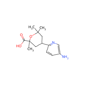 CC1(C)CC(c2ccc(N)cn2)CC(C)(C(=O)O)O1